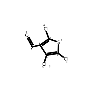 Cc1c(Cl)sc(Cl)c1C=O